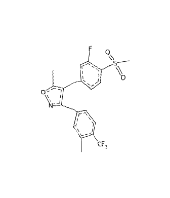 Cc1cc(-c2noc(C)c2-c2ccc(S(C)(=O)=O)c(F)c2)ccc1C(F)(F)F